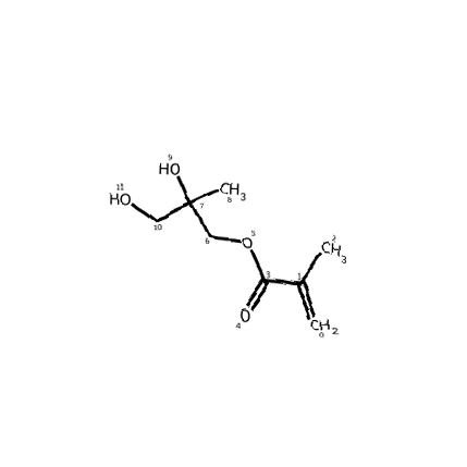 C=C(C)C(=O)OCC(C)(O)CO